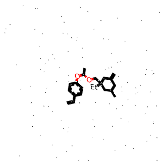 C=Cc1ccc(OC(C)OCC2(CC)CC(=C)CC(C)C2)cc1